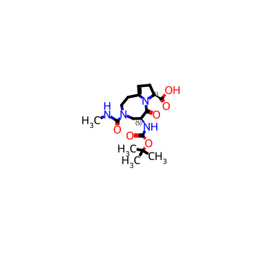 CNC(=O)N1CCC2=CC[C@@H](C(=O)O)N2C(=O)[C@@H](NC(=O)OC(C)(C)C)C1